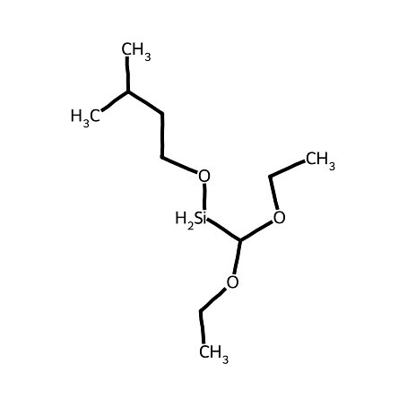 CCOC(OCC)[SiH2]OCCC(C)C